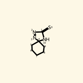 S=C1N=NC2(CCCCC2)N1